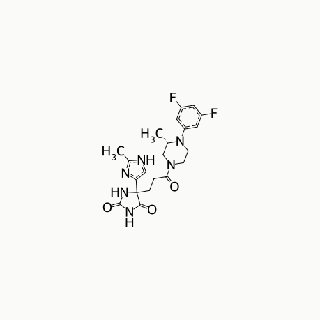 Cc1nc(C2(CCC(=O)N3CCN(c4cc(F)cc(F)c4)[C@@H](C)C3)NC(=O)NC2=O)c[nH]1